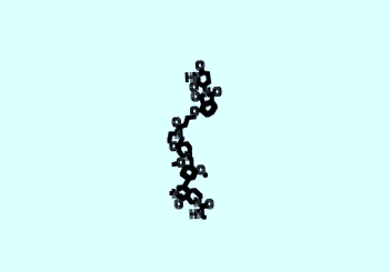 CNC(=O)N1CCc2c(-c3cc(OC)c(CN4CCC5(CC4)CN(C(=O)CCCOc4cccc6c4C(=O)N(C4CCC(=O)NC4=O)C6=O)CCO5)c(OC)c3)cn(C)c(=O)c2C1